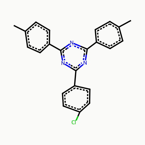 Cc1ccc(-c2nc(-c3ccc(C)cc3)nc(-c3ccc(Cl)cc3)n2)cc1